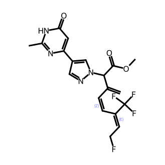 C=C(/C=C\C(=C/CF)C(F)(F)F)C(C(=O)OC)n1cc(-c2cc(=O)[nH]c(C)n2)cn1